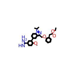 CCOC(=O)Cc1ccccc1OCc1nn(C(C)C)c2ccc(-c3cc(C(=N)N)ccc3OC)cc12